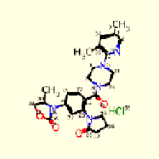 Cc1cnc(N2CCN(C(=O)c3ccc(N4C(=O)OCC4C)cc3N3CCCC3=O)CC2)c(C)c1.Cl